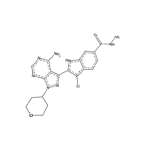 CCCNC(=O)c1ccc2c(Cl)c(-c3nn(C4CCOCC4)c4ncnc(N)c34)[nH]c2c1